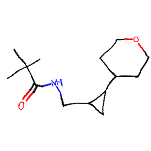 CC(C)(C)C(=O)NCC1CC1C1CCOCC1